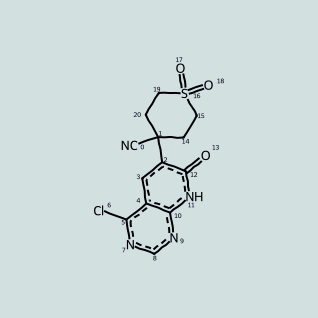 N#CC1(c2cc3c(Cl)ncnc3[nH]c2=O)CCS(=O)(=O)CC1